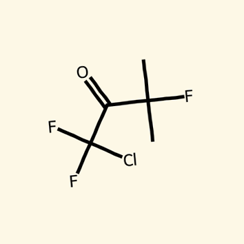 CC(C)(F)C(=O)C(F)(F)Cl